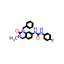 CN1Cc2ccc(NC(=O)Nc3ccc(F)cc3)cc2N(Cc2ccccc2)C1=O